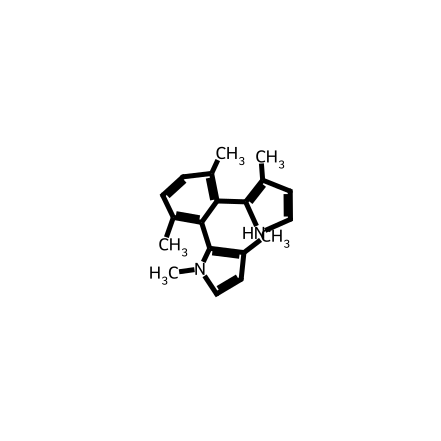 Cc1cc[nH]c1-c1c(C)ccc(C)c1-c1c(C)ccn1C